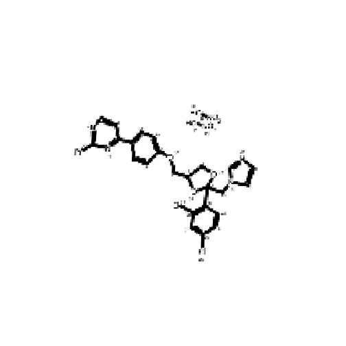 CC(C)c1nccc(-c2ccc(OCC3COC(Cn4ccnc4)(c4ccc(Cl)cc4Cl)O3)cc2)n1.O=[N+]([O-])O.O=[N+]([O-])O